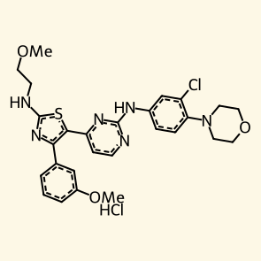 COCCNc1nc(-c2cccc(OC)c2)c(-c2ccnc(Nc3ccc(N4CCOCC4)c(Cl)c3)n2)s1.Cl